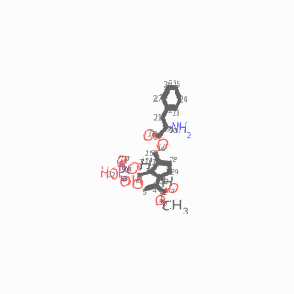 COC(=O)C1=CO[C@@H](OP(=O)(O)O)[C@@H]2C(COC(=O)[C@@H](N)Cc3ccccc3)=CC[C@H]12